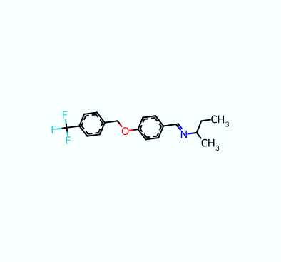 CCC(C)N=Cc1ccc(OCc2ccc(C(F)(F)F)cc2)cc1